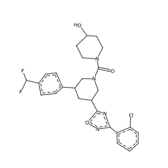 O=C(N1CCC(O)CC1)N1CC(c2ccc(C(F)F)cc2)CC(c2nc(-c3ccccc3Cl)no2)C1